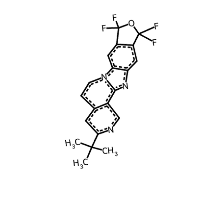 CC(C)(C)c1cc2ccn3c4cc5c(cc4nc3c2cn1)C(F)(F)OC5(F)F